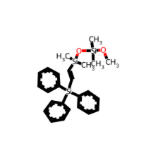 CO[Si](C)(C)O[Si](C)(C)C=C[Si](c1ccccc1)(c1ccccc1)c1ccccc1